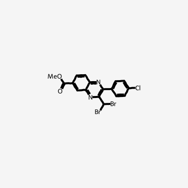 COC(=O)c1ccc2nc(-c3ccc(Cl)cc3)c(C(Br)Br)nc2c1